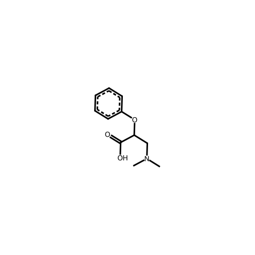 CN(C)CC(Oc1ccccc1)C(=O)O